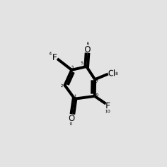 O=C1C=C(F)C(=O)C(Cl)=C1F